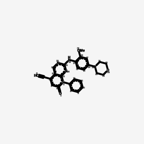 C#Cc1cc(=O)n(-c2ccccc2)c2nc(Nc3ccc(N4CCOCC4)cc3OC)ncc12